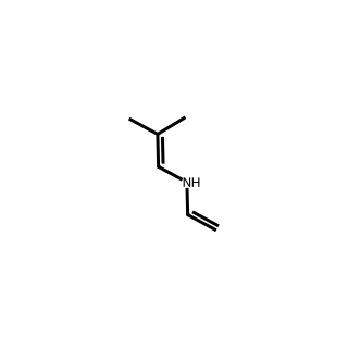 C=CNC=C(C)C